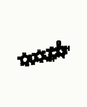 O=c1[nH]ccc2cc(NC3CCCN(CC4CCCCC4)C3)ccc12